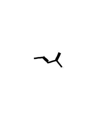 [CH2]C(=C)/C=C/C